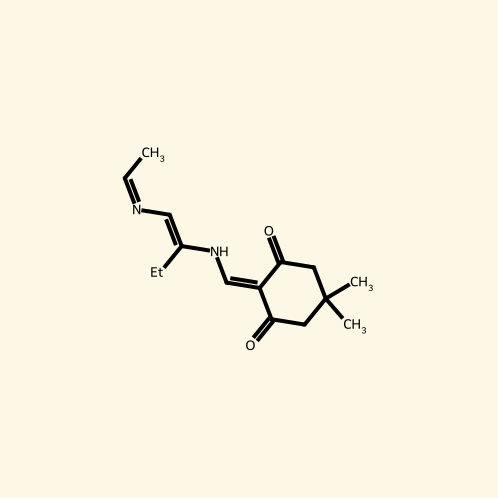 C/C=N\C=C(/CC)NC=C1C(=O)CC(C)(C)CC1=O